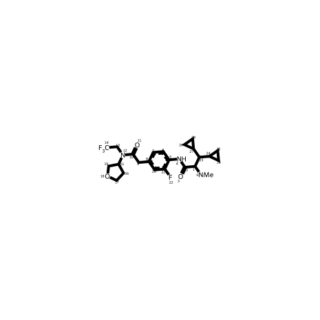 CNC(C(=O)Nc1ccc(CC(=O)N(CC(F)(F)F)C2CCOC2)cc1F)C(C1CC1)C1CC1